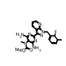 COC(=O)N(C)c1c(N)nc(-c2nn(CC3=CC=CC(C)C3F)c3ncccc23)nc1N